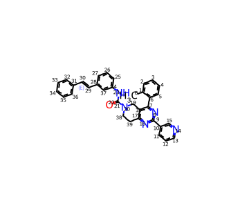 Cc1ccccc1-c1nc(-c2cccnc2)nc2c1CN(C(=O)Nc1cccc(/C=C/c3ccccc3)c1)CC2